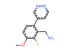 COc1ccc(-c2ccnnc2)c(CN)c1F